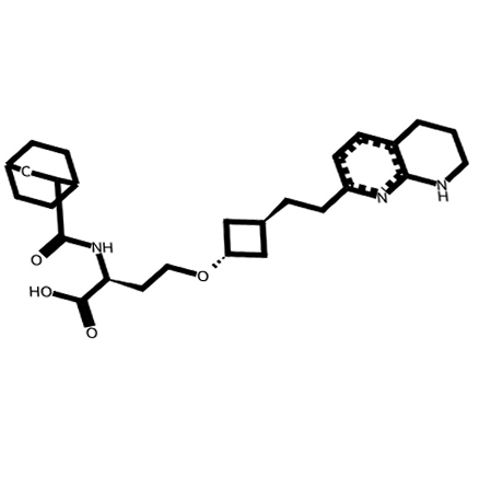 O=C(N[C@@H](CCO[C@H]1C[C@H](CCc2ccc3c(n2)NCCC3)C1)C(=O)O)C1CC2CCC1CC2